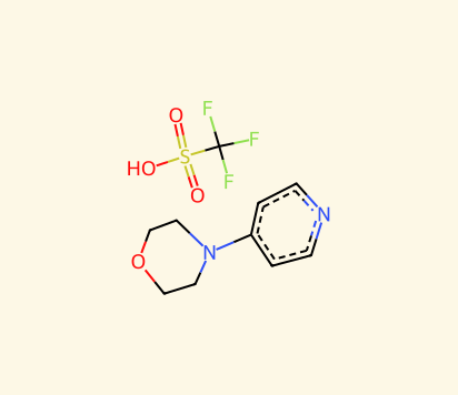 O=S(=O)(O)C(F)(F)F.c1cc(N2CCOCC2)ccn1